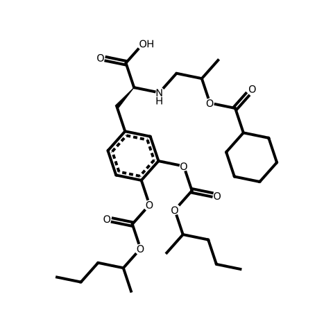 CCCC(C)OC(=O)Oc1ccc(C[C@H](NCC(C)OC(=O)C2CCCCC2)C(=O)O)cc1OC(=O)OC(C)CCC